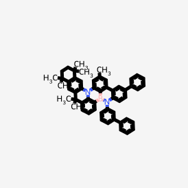 Cc1cc2c3c(c1)N1c4cc5c(cc4C(C)(C)c4cccc(c41)B3N(c1cccc(-c3ccccc3)c1)c1ccc(-c3ccccc3)cc1-2)C(C)(C)CCC5(C)C